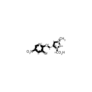 CN1C[C@@H](COc2ncc([N+](=O)[O-])cc2Br)N(C(=O)O)S1